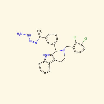 C=C(/N=N\NN)c1cccc(C2c3[nH]c4ccccc4c3CCN2Cc2cccc(Cl)c2Cl)c1